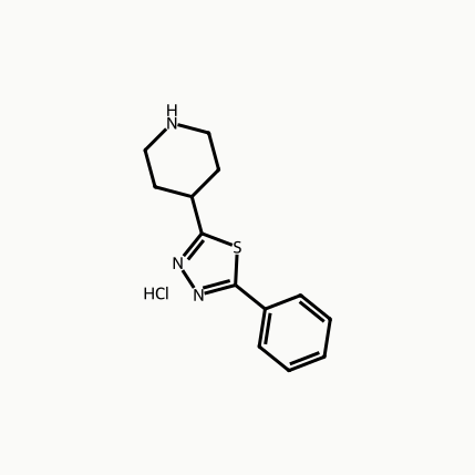 Cl.c1ccc(-c2nnc(C3CCNCC3)s2)cc1